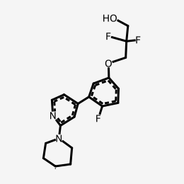 OCC(F)(F)COc1ccc(F)c(-c2ccnc(N3CC[CH]CC3)c2)c1